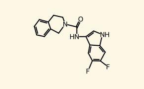 O=C(Nc1c[nH]c2cc(F)c(F)cc12)N1CCc2ccccc2C1